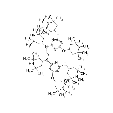 CN1C(C)(C)CC(Oc2nc(OC3CC(C)(C)N(C)C(C)(C)C3)nc(N(CCN(c3nc(OC4CC(C)(C)N(C)C(C)(C)C4)nc(OC4CC(C)(C)N(C)C(C)(C)C4)n3)C3CC(C)(C)NC(C)(C)C3)C3CC(C)(C)NC(C)(C)C3)n2)CC1(C)C